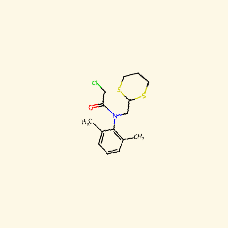 Cc1cccc(C)c1N(CC1SCCCS1)C(=O)CCl